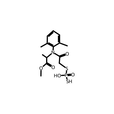 COC(=O)C(C)N(C(=O)CSP(=O)(O)S)c1c(C)cccc1C